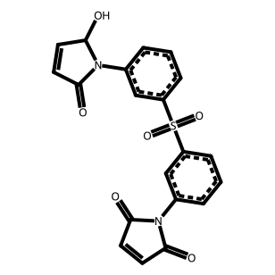 O=C1C=CC(=O)N1c1cccc(S(=O)(=O)c2cccc(N3C(=O)C=CC3O)c2)c1